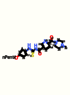 CCCCCOc1ccc(NC(=S)NC(=O)c2ccc(C(=O)N3CCN(C)CC3)nc2)cc1